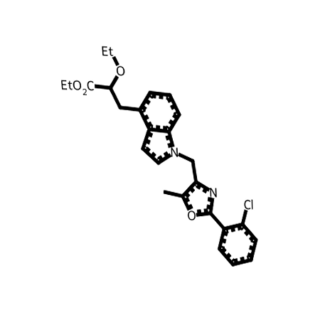 CCOC(=O)C(Cc1cccc2c1ccn2Cc1nc(-c2ccccc2Cl)oc1C)OCC